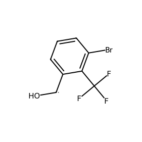 O[CH]c1cccc(Br)c1C(F)(F)F